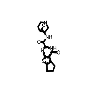 O=C(NC1CN2CCC1CC2)c1nc2sc3c(c2c(=O)[nH]1)CCC3